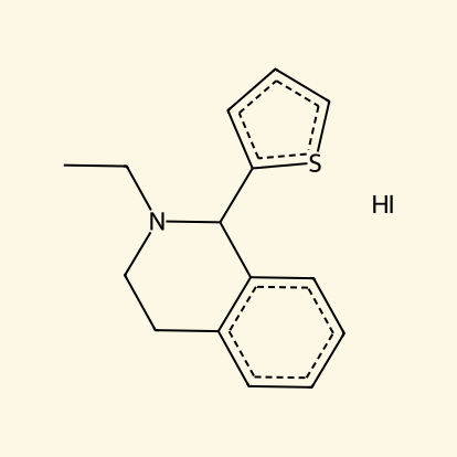 CCN1CCc2ccccc2C1c1cccs1.I